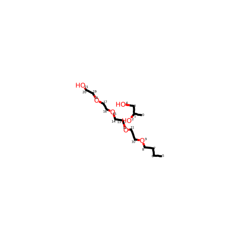 CC(O)CO.CCCCOCCOCCOCCOCCO